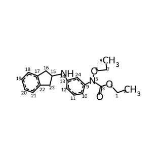 CCOC(=O)N(OCC)c1cccc(NC2Cc3ccccc3C2)c1